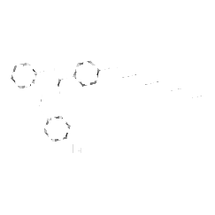 CCCCCCCCOc1ccc(C(=O)Oc2ccccc2CCc2ccc(Br)cc2)cc1